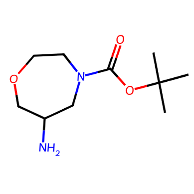 CC(C)(C)OC(=O)N1CCOCC(N)C1